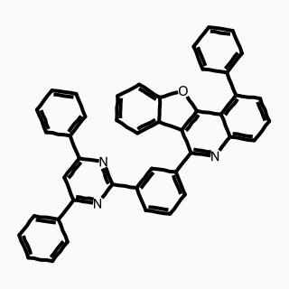 c1ccc(-c2cc(-c3ccccc3)nc(-c3cccc(-c4nc5cccc(-c6ccccc6)c5c5oc6ccccc6c45)c3)n2)cc1